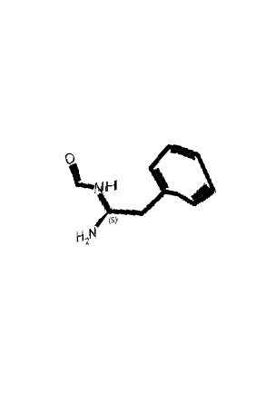 N[C@H](Cc1ccccc1)NC=O